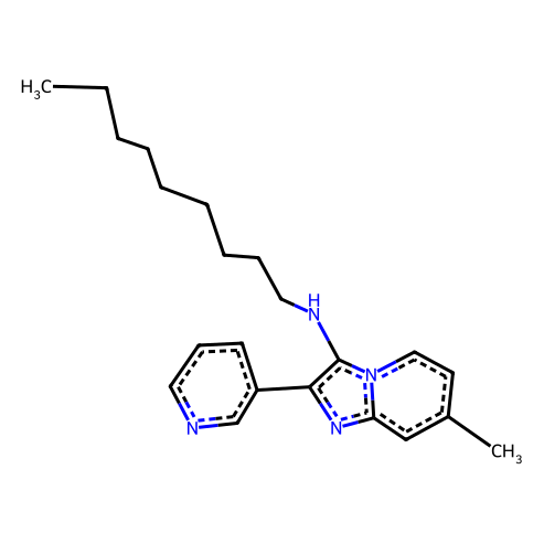 CCCCCCCCCNc1c(-c2cccnc2)nc2cc(C)ccn12